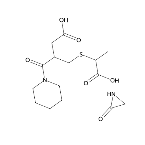 CC(SCC(CC(=O)O)C(=O)N1CCCCC1)C(=O)O.O=C1CN1